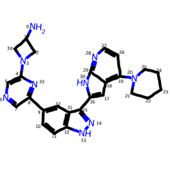 NC1CN(c2cncc(-c3ccc4[nH]nc(-c5cc6c(N7CCCCC7)ccnc6[nH]5)c4c3)n2)C1